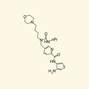 CCCNC(=O)N(CCCCN1CCOCC1)Cc1ccc(C(=O)Nc2cscc2N)nc1